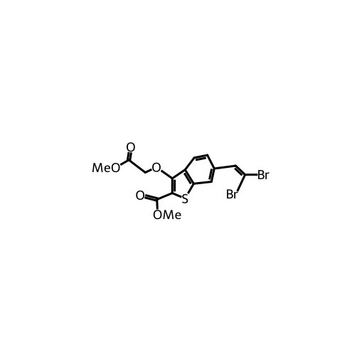 COC(=O)COc1c(C(=O)OC)sc2cc(C=C(Br)Br)ccc12